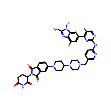 Cc1nc2c(F)cc(-c3nc(Nc4ccc(CN5CCN(C6CCN(c7ccc8c(c7)C(=O)N(C7CCC(=O)NC7=O)C8=O)CC6)CC5)cn4)ncc3F)cc2n1C(C)C